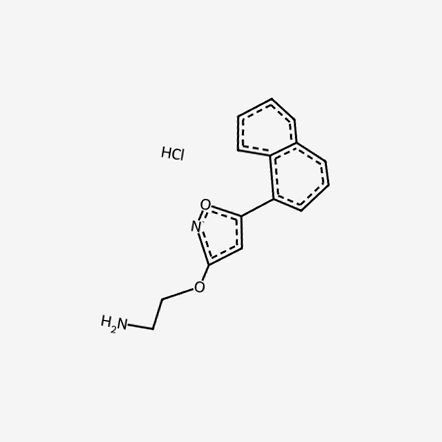 Cl.NCCOc1cc(-c2cccc3ccccc23)on1